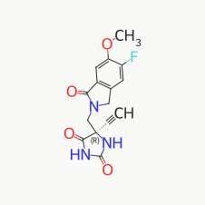 C#C[C@]1(CN2Cc3cc(F)c(OC)cc3C2=O)NC(=O)NC1=O